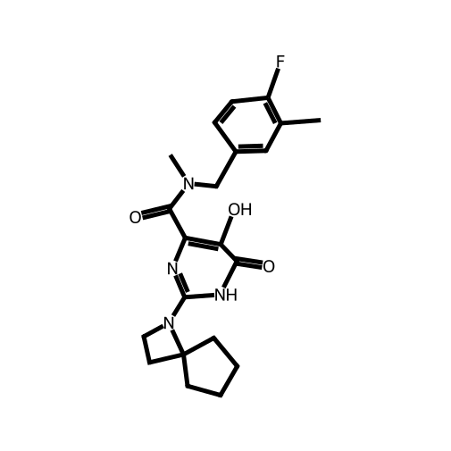 Cc1cc(CN(C)C(=O)c2nc(N3CCC34CCCC4)[nH]c(=O)c2O)ccc1F